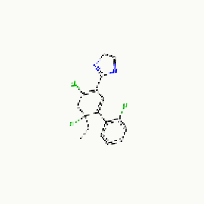 CCC1(Cl)CC(Cl)=C(C2=NCC=N2)C=C1c1ccccc1Cl